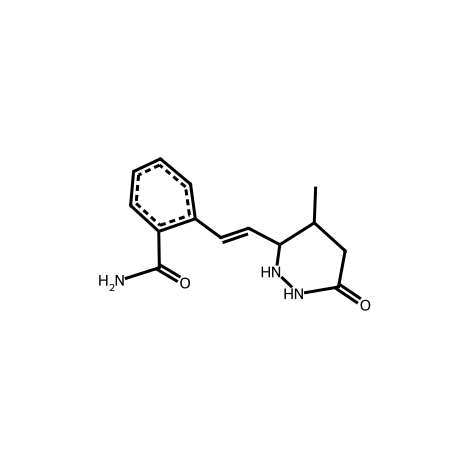 CC1CC(=O)NNC1/C=C/c1ccccc1C(N)=O